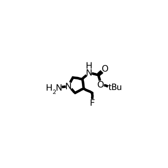 CC(C)(C)OC(=O)NC1CN(N)CC1CF